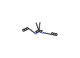 CCCCCCCCC1(CCCCCCCC)c2cc(C)c(N(C)CCCCCCCCc3ccc4cc5ccccc5cc4c3)cc2-c2cc(N(C)CCCCCCCCc3ccc4cc5ccccc5cc4c3)c(C)cc21